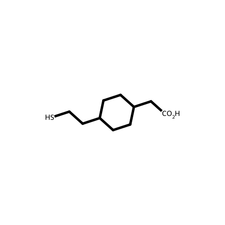 O=C(O)CC1CCC(CCS)CC1